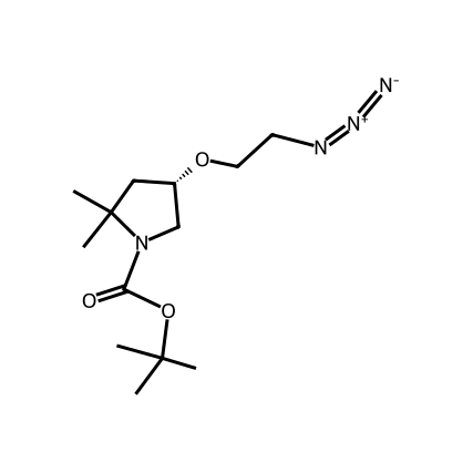 CC(C)(C)OC(=O)N1C[C@@H](OCCN=[N+]=[N-])CC1(C)C